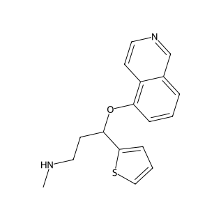 CNCCC(Oc1cccc2cnccc12)c1cccs1